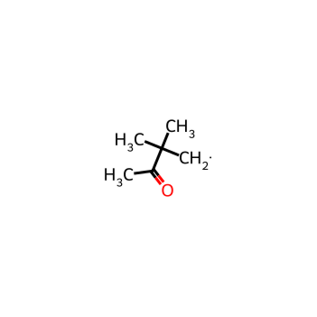 [CH2]C(C)(C)C(C)=O